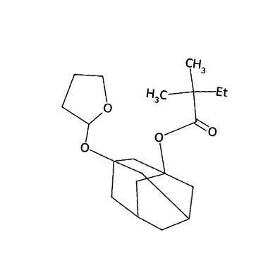 CCC(C)(C)C(=O)OC12CC3CC(C1)CC(OC1CCCO1)(C3)C2